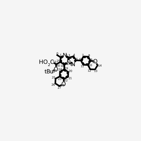 Cc1nc2cc(-c3ccc4c(c3)CCCO4)nn2c(-c2ccc3c(c2)CCCO3)c1C(OC(C)(C)C)C(=O)O